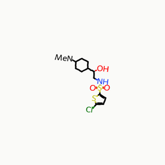 CNC1CCC([C@@H](O)CNS(=O)(=O)c2ccc(Cl)s2)CC1